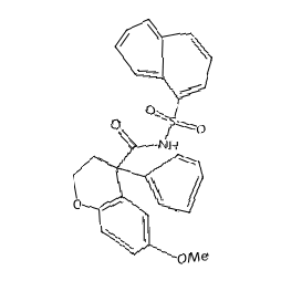 COc1ccc2c(c1)C(C(=O)NS(=O)(=O)c1cccc3ccccc13)(c1ccccc1)CCO2